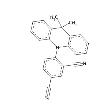 CC1(C)c2ccccc2N(c2ccc(C#N)cc2C#N)c2ccccc21